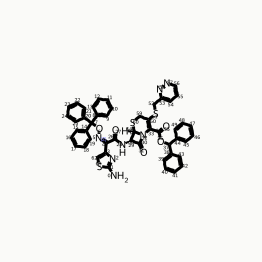 Nc1nc(/C(=N/OC(c2ccccc2)(c2ccccc2)c2ccccc2)C(=O)N[C@@H]2C(=O)N3C(C(=O)OC(c4ccccc4)c4ccccc4)=C(SCc4cccnn4)CS[C@@H]23)cs1